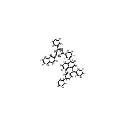 c1ccc(-c2ccc3c(c2)-c2cccc4c(-c5cccc(-c6nc(-c7ccccc7)nc(-c7ccc8ccccc8c7)n6)c5)ccc(c24)N3c2ccccc2)cc1